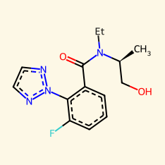 CCN(C(=O)c1cccc(F)c1-n1nccn1)[C@@H](C)CO